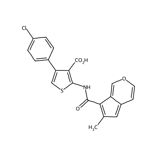 Cc1cc2ccocc-2c1C(=O)Nc1scc(-c2ccc(Cl)cc2)c1C(=O)O